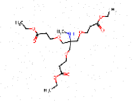 CCOC(=O)CCOCC(COCCC(=O)OCC)(COCCC(=O)OCC)NC